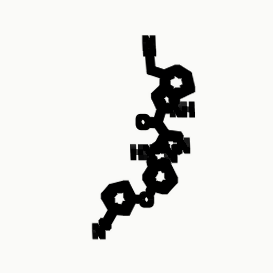 N#CCc1cccc2[nH]c(C(=O)c3cnn4c3[nH]c3cc(Oc5cccc(C#N)c5)ccc34)cc12